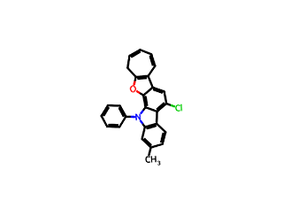 Cc1ccc2c3c(Cl)cc4c5c(oc4c3n(-c3ccccc3)c2c1)CC=CC=C5